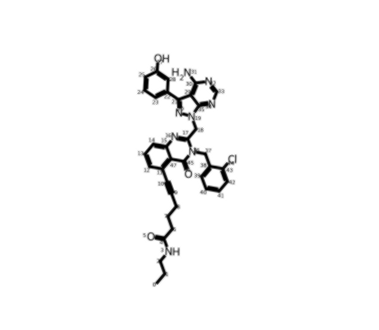 CCCNC(=O)CCCC#Cc1cccc2nc(Cn3nc(-c4cccc(O)c4)c4c(N)ncnc43)n(Cc3ccccc3Cl)c(=O)c12